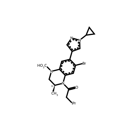 CC(C)CC(=O)N1c2cc(Br)c(-c3cnn(C4CC4)c3)cc2N(C(=O)O)C[C@@H]1C